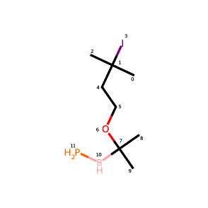 CC(C)(I)CCOC(C)(C)BP